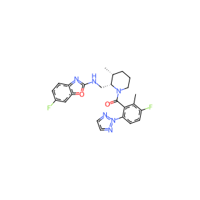 Cc1c(F)ccc(-n2nccn2)c1C(=O)N1CCC[C@@H](C)[C@H]1CNc1nc2ccc(F)cc2o1